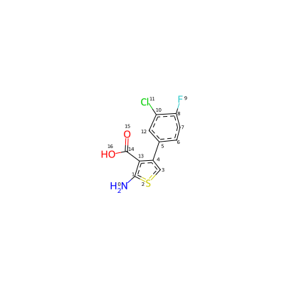 Nc1scc(-c2ccc(F)c(Cl)c2)c1C(=O)O